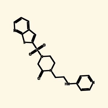 O=C1CN(S(=O)(=O)c2cc3cccnc3s2)CCN1CCNc1ccncc1